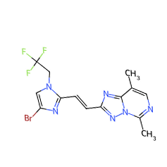 Cc1cnc(C)n2nc(C=Cc3nc(Br)cn3CC(F)(F)F)nc12